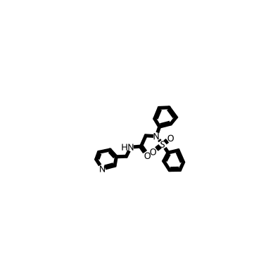 O=C(CN(c1ccccc1)S(=O)(=O)c1ccccc1)NCc1cccnc1